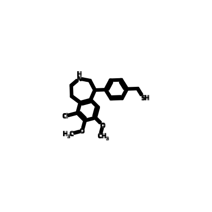 COc1cc2c(c(Cl)c1OC)CCNCC2c1ccc(CS)cc1